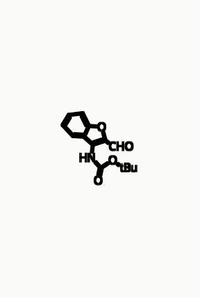 CC(C)(C)OC(=O)Nc1c(C=O)oc2ccccc12